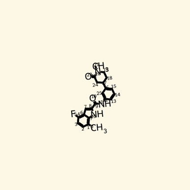 Cc1ccc(F)c2cc(C(=O)Nc3cccc(C4CCN(C)C(=O)C4)c3)[nH]c12